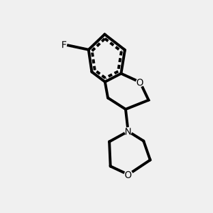 Fc1ccc2c(c1)CC(N1CCOCC1)CO2